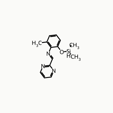 Cc1cccc(O[SiH](C)C)c1N=Cc1ncccn1